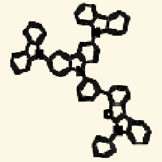 c1ccc(-n2c3ccccc3c3c4cccc(-c5cccc(-n6c7ccc(-n8c9ccccc9c9ccccc98)cc7c7cc(-n8c9ccccc9c9ccccc98)ccc76)c5)c4oc32)cc1